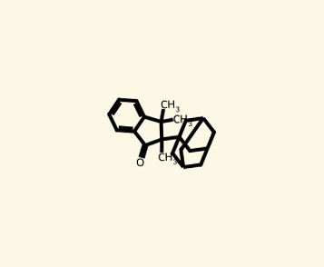 CC1(C)c2ccccc2C(=O)C1(C)C12CC3CC(CC(C3)C1)C2